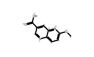 COc1ccc2ncc(C(=O)O)cc2n1